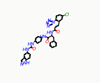 O=C(/C=C/c1cc(Cl)ccc1-n1cnnn1)NC(Cc1ccccc1)C(=O)Nc1ccc(NC(=O)Nc2ccc3[nH]ncc3c2)cc1